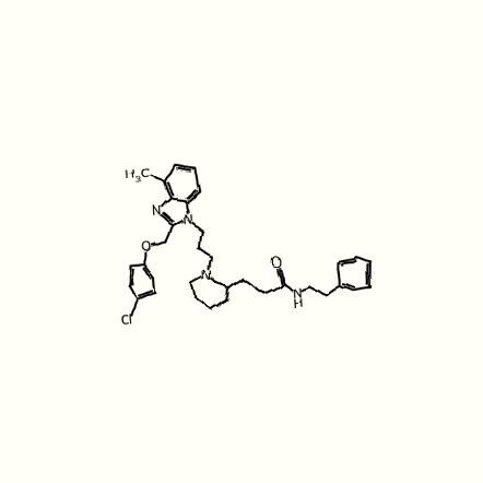 Cc1cccc2c1nc(COc1ccc(Cl)cc1)n2CCCN1CCCCC1CCC(=O)NCCc1ccccc1